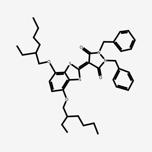 CCCCC(CC)COc1ccc(OCC(CC)CCCC)c2c1SC(=C1C(=O)N(Cc3ccccc3)N(Cc3ccccc3)C1=O)S2